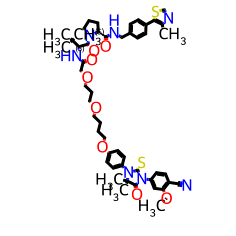 COc1cc(N2C(=O)C(C)(C)N(c3ccc(OCCCCOCCCOCC(=O)N[C@H](C(=O)N4CCC[C@H]4C(=O)NCc4ccc(-c5scnc5C)cc4)C(C)(C)C)cc3)C2=S)ccc1C#N